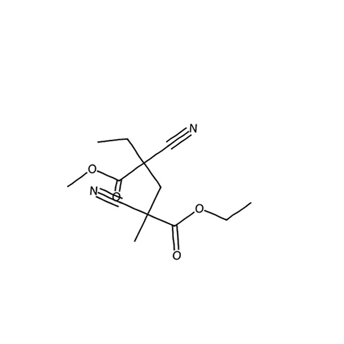 CCOC(=O)C(C)(C#N)CC(C#N)(CC)C(=O)OC